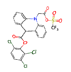 O=C(CN1c2ccccc2C(C(=O)Oc2c(Cl)ccc(Cl)c2Cl)c2ccccc21)OS(=O)(=O)C(F)(F)F